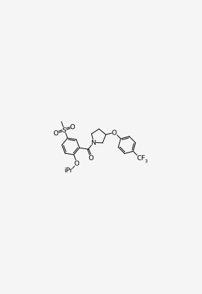 CC(C)Oc1ccc(S(C)(=O)=O)cc1C(=O)N1CCC(Oc2ccc(C(F)(F)F)cc2)C1